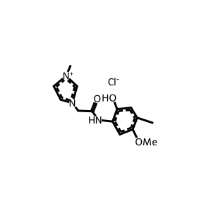 COc1cc(NC(=O)Cn2cc[n+](C)c2)c(O)cc1C.[Cl-]